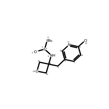 CC(C)(C)[S+]([O-])NC1(Cc2ccc(Cl)nc2)COC1